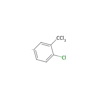 Clc1cc[c]cc1C(Cl)(Cl)Cl